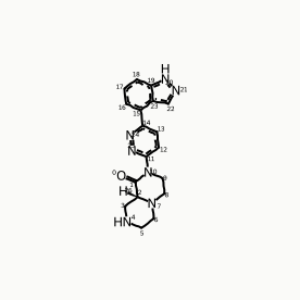 O=C1[C@H]2CNCCN2CCN1c1ccc(-c2cccc3[nH]ncc23)nn1